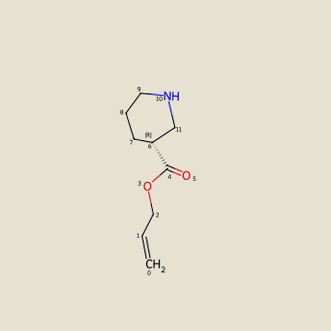 C=CCOC(=O)[C@@H]1CCCNC1